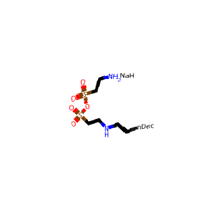 CCCCCCCCCCCCNCCS(=O)(=O)OS(=O)(=O)CCN.[NaH]